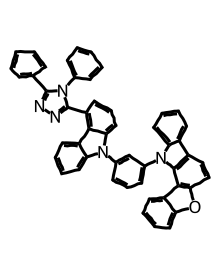 c1ccc(-c2nnc(-c3cccc4c3c3ccccc3n4-c3cccc(-n4c5ccccc5c5ccc6oc7ccccc7c6c54)c3)n2-c2ccccc2)cc1